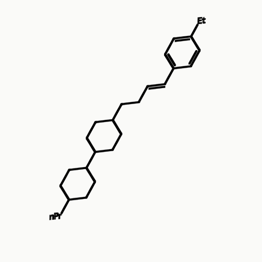 CCCC1CCC(C2CCC(CCC=Cc3ccc(CC)cc3)CC2)CC1